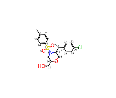 Cc1ccc(S(=O)(=O)N2C[C@H](CO)OCC2Cc2ccc(Cl)cc2)cc1